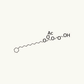 CC(=O)COC(COCCCCCCCCCCCCC1CCCCC1)COCCOCCO